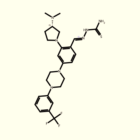 CN(C)[C@H]1CCN(c2cc(N3CCN(c4cccc(C(F)(F)F)c4)CC3)ccc2/C=N/NC(N)=S)C1